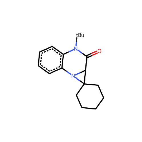 CC(C)(C)N1C(=O)C2N(c3ccc[c]c31)C21CCCCC1